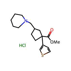 COC(=O)C1(c2ccsc2)CCC(CN2CCCCC2)C1.Cl